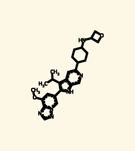 COc1cc(-c2[nH]c3cnc(C4CCC(NC5COC5)CC4)cc3c2C(C)C)cn2ncnc12